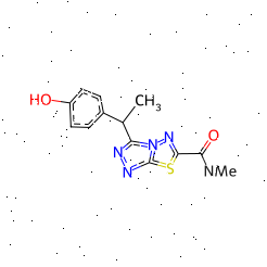 CNC(=O)c1nn2c(C(C)c3ccc(O)cc3)nnc2s1